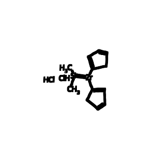 C[Si](C)=[Zr]([C]1=CC=CC1)[C]1=CC=CC1.Cl.Cl